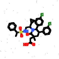 CC(c1ccccc1)S(=O)(=O)NCC(C1CC1)N1C(=O)C(C)(CC(=O)O)CC(c2cccc(Cl)c2)C1c1ccc(Cl)cc1